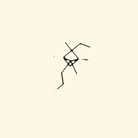 CCC1(C)[C@@H]2C[C@@H]1C2(C)CCN